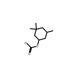 CC1CC(OC(=O)Cl)CC(C)(C)C1